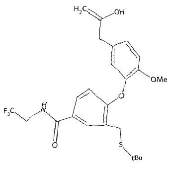 C=C(O)Cc1ccc(OC)c(Oc2ccc(C(=O)NCC(F)(F)F)cc2CSC(C)(C)C)c1